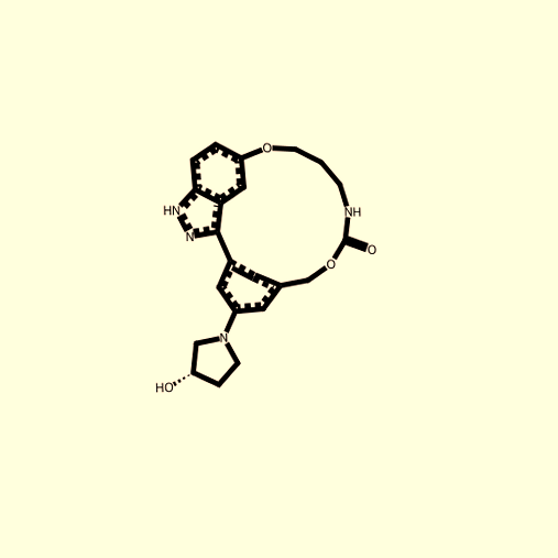 O=C1NCCCOc2ccc3[nH]nc(c3c2)-c2cc(cc(N3CC[C@H](O)C3)c2)CO1